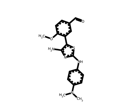 COc1ccc(C=O)cc1-c1sc(Nc2ccc(N(C)C)cc2)nc1N